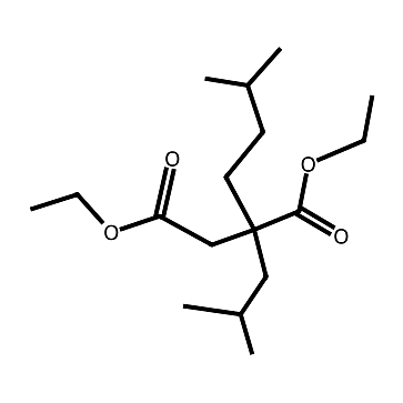 CCOC(=O)CC(CCC(C)C)(CC(C)C)C(=O)OCC